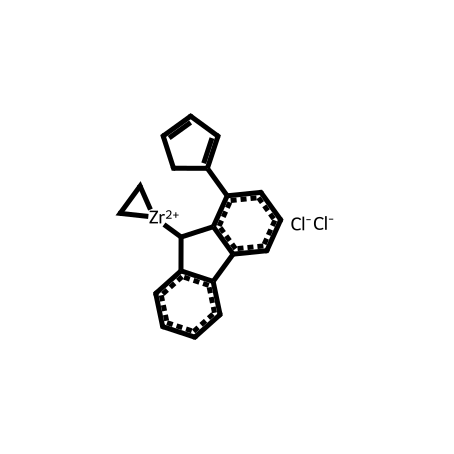 C1=CCC(c2cccc3c2[CH]([Zr+2]2[CH2][CH2]2)c2ccccc2-3)=C1.[Cl-].[Cl-]